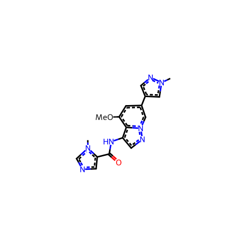 COc1cc(-c2cnn(C)c2)cn2ncc(NC(=O)c3cncn3C)c12